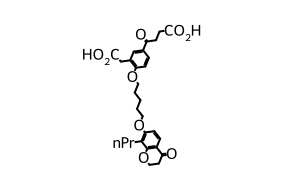 CCCc1c(OCCCCCOc2ccc(C(=O)CCC(=O)O)cc2CC(=O)O)ccc2c1OCCC2=O